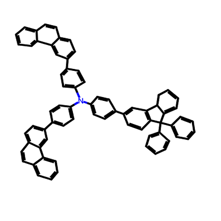 C1=CCC2C(=C1)C(c1ccccc1)(c1ccccc1)c1ccc(-c3ccc(N(c4ccc(-c5ccc6ccc7ccccc7c6c5)cc4)c4ccc(-c5ccc6ccc7ccccc7c6c5)cc4)cc3)cc12